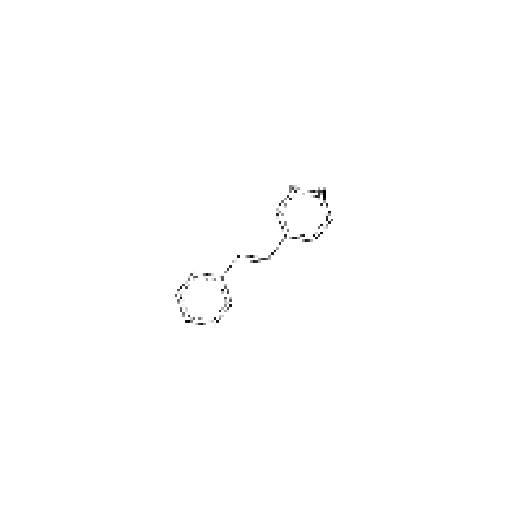 C(=Cc1ccnnc1)c1ccccc1